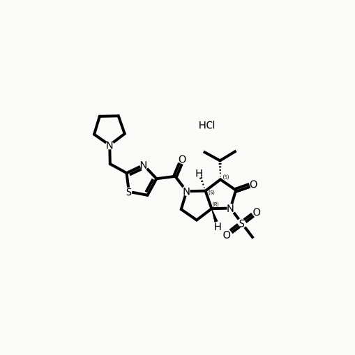 CC(C)[C@@H]1C(=O)N(S(C)(=O)=O)[C@@H]2CCN(C(=O)c3csc(CN4CCCC4)n3)[C@H]21.Cl